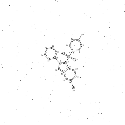 Cc1ccc(S(=O)(=O)n2c(-c3ccccc3)cc3cc(Br)ccc32)cc1